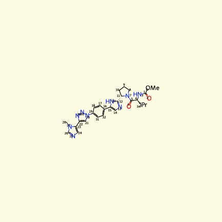 COC(=O)N[C@H](C(=O)N1CCC[C@H]1c1ncc(-c2ccc(-n3cc(-c4cncn4C)nn3)cc2)[nH]1)C(C)C